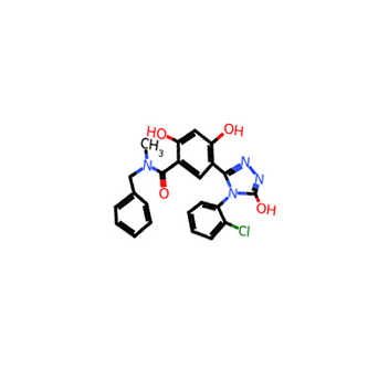 CN(Cc1ccccc1)C(=O)c1cc(-c2nnc(O)n2-c2ccccc2Cl)c(O)cc1O